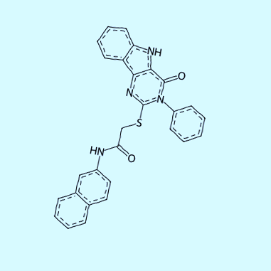 O=C(CSc1nc2c([nH]c3ccccc32)c(=O)n1-c1ccccc1)Nc1ccc2ccccc2c1